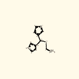 CCSC(c1ccsc1)c1ccsc1